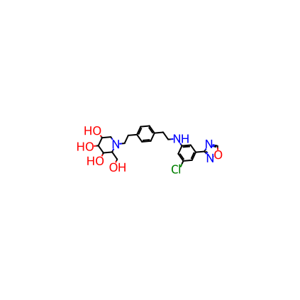 OCC1C(O)C(O)C(O)CN1CCc1ccc(CCNc2cc(Cl)cc(-c3ncon3)c2)cc1